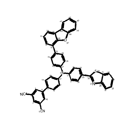 N#Cc1cc(C#N)cc(-c2ccc(N(c3ccc(-c4nc5ccccc5s4)cc3)c3ccc(-c4cccc5c4oc4ccccc45)cc3)cc2)c1